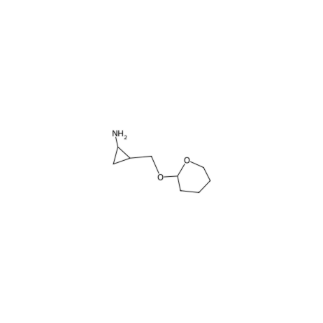 NC1CC1COC1CCCCO1